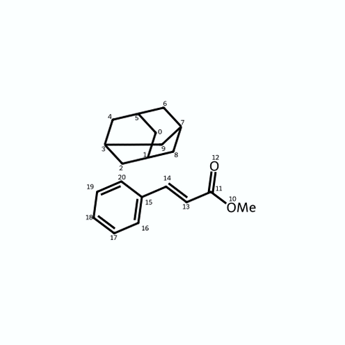 C1C2CC3CC1CC(C2)C3.COC(=O)C=Cc1ccccc1